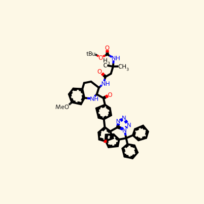 COc1ccc2c(c1)NC(C(=O)c1ccc(-c3ccccc3-c3nnnn3C(c3ccccc3)(c3ccccc3)c3ccccc3)cc1)C(NC(=O)CC(C)(C)NC(=O)OC(C)(C)C)CC2